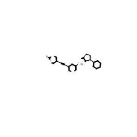 Nc1ncc(C#Cc2cncc(-n3nc4c(n3)C(c3ccccc3)CC4)c2)cn1